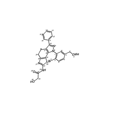 COCc1ccc(Br)c(-n2nc(-c3cccnc3)c3c2-c2sc(NC(=O)CO)nc2CC3)c1